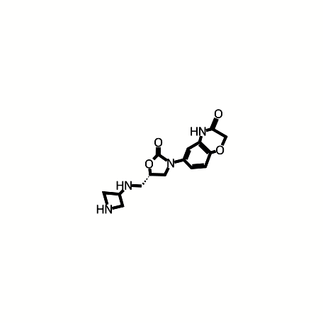 O=C1COc2ccc(N3C[C@H](CNC4CNC4)OC3=O)cc2N1